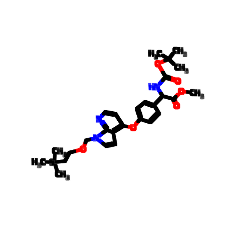 COC(=O)C(NC(=O)OC(C)(C)C)c1ccc(Oc2ccnc3c2ccn3COCC[Si](C)(C)C)cc1